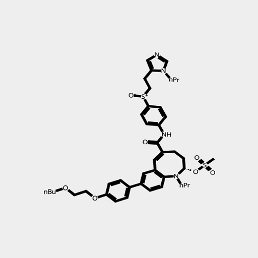 CCCCOCCOc1ccc(-c2ccc3c(c2)C=C(C(=O)Nc2ccc([S+]([O-])CCc4cncn4CCC)cc2)CC[C@H](OS(C)(=O)=O)N3CCC)cc1